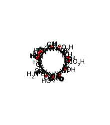 CCCC[C@H]1C(=O)N2C[C@H](O)C[C@@H]2C(=O)N[C@@H](CC(=O)O)C(=O)N[C@@H](C(C)C)C(=O)N(C)[C@@H](Cc2ccccc2)C(=O)N[C@@H](CCC(=O)O)C(=O)N2C[C@H](O)C[C@H]2C(=O)N[C@@H](Cc2c[nH]c3ccccc23)C(=O)N[C@@H](Cc2ccc(O)cc2)C(=O)N[C@@H](CCC(=O)O)C(=O)N[C@H](C(=O)NCC(N)=O)CSCC(=O)N[C@@H](Cc2cc(F)c(F)c(F)c2)C(=O)N(C)[C@@H](Cc2ccccc2)C(=O)N1C